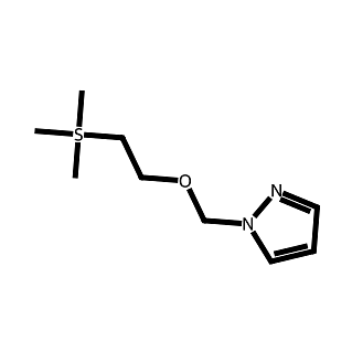 CS(C)(C)CCOCn1cccn1